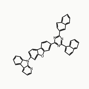 c1ccc2cc(-c3nc(-c4ccc5c(c4)oc4cc(-n6c7ccccc7c7cccnc76)ccc45)nc(-c4cccc5ccccc45)n3)ccc2c1